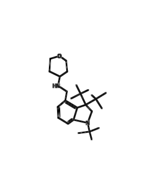 CC(C)(C)N1CC(C(C)(C)C)(C(C)(C)C)c2c(CNC3CCOCC3)cccc21